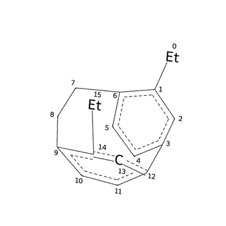 CCc1cc2ccc1CCc1ccc-2cc1CC